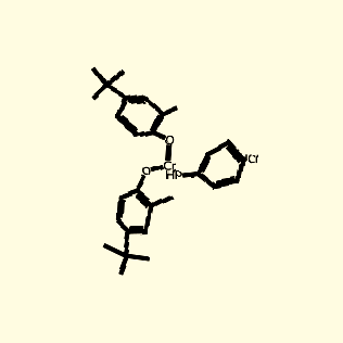 Cc1cc(C(C)(C)C)ccc1[O][Cr]([O]c1ccc(C(C)(C)C)cc1C)[PH]c1ccccc1.Cl